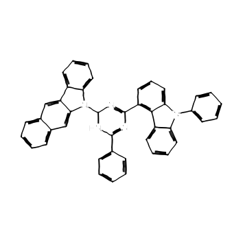 c1ccc(C2=NC(c3cccc4c3c3ccccc3n4-c3ccccc3)=NC(n3c4ccccc4c4cc5ccccc5cc43)N2)cc1